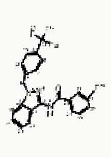 O=C(Nc1nn(Cc2ccc(C(F)(F)F)cc2)c2ccccc12)c1cccc(F)c1